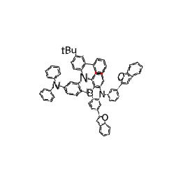 Cc1cc2c3c(c1)N(c1ccc(C(C)(C)C)cc1-c1ccccc1)c1cc(N(c4ccccc4)c4ccccc4)ccc1B3c1ccc(-c3cc4ccccc4o3)cc1N2c1cccc(-c2cc3ccccc3o2)c1